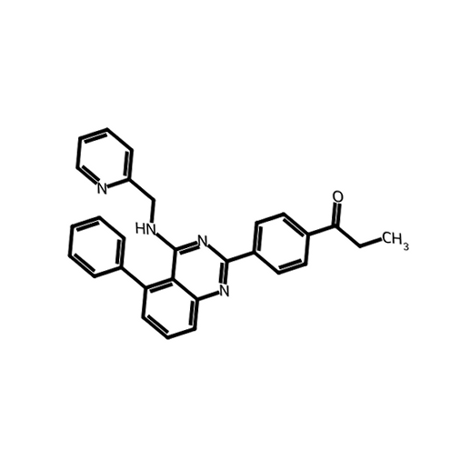 CCC(=O)c1ccc(-c2nc(NCc3ccccn3)c3c(-c4ccccc4)cccc3n2)cc1